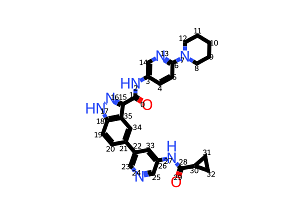 O=C(Nc1ccc(N2CCCCC2)nc1)c1n[nH]c2ccc(-c3cncc(NC(=O)C4CC4)c3)cc12